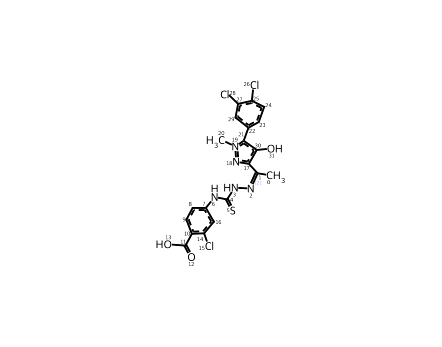 C/C(=N/NC(=S)Nc1ccc(C(=O)O)c(Cl)c1)c1nn(C)c(-c2ccc(Cl)c(Cl)c2)c1O